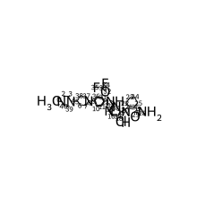 CN1CCN(C2CCN(c3ccc(Nc4ncc(Cl)c(N[C@@H]5CCCC[C@@H]5C(N)=O)n4)c(OC(F)F)c3)CC2)CC1